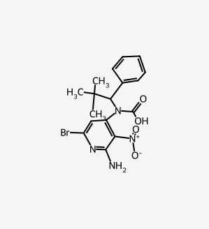 CC(C)(C)C(c1ccccc1)N(C(=O)O)c1cc(Br)nc(N)c1[N+](=O)[O-]